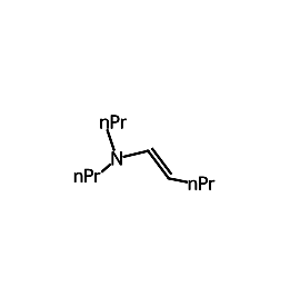 CCCC=CN(CCC)CCC